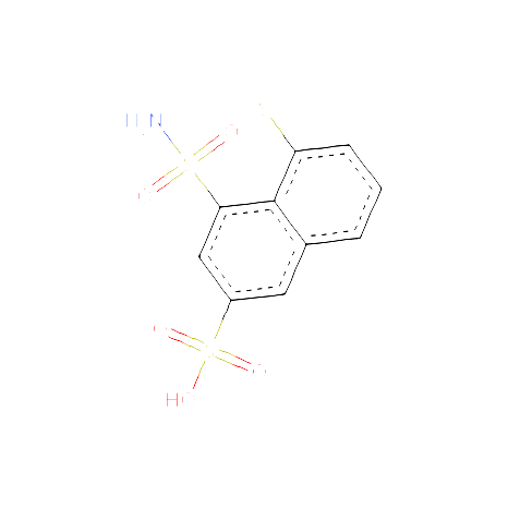 NS(=O)(=O)c1cc(S(=O)(=O)O)cc2cccc([S])c12